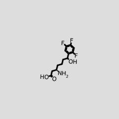 N[C@H](CCCC(O)c1cc(F)c(F)cc1F)CC(=O)O